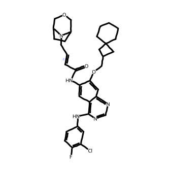 O=C(/C=C/CN1C2CCC1COC2)Nc1cc2c(Nc3ccc(F)c(Cl)c3)ncnc2cc1OCC1CC2(CCCCC2)C1